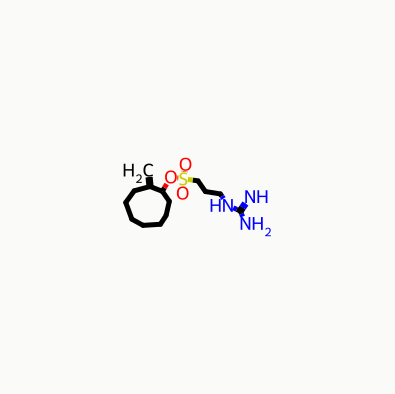 C=C1CCCCCCCC1OS(=O)(=O)CCCNC(=N)N